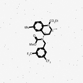 CCOC(=O)N1c2ccc(C(C)(C)C)cc2[C@@H](N(Cc2cc(C(F)(F)F)cc(C(F)(F)F)c2)C(=O)OC)C[C@H]1C